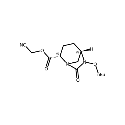 CCCCON1C(=O)N2C[C@@H]1CC[C@H]2C(=O)OCC#N